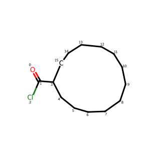 O=C(Cl)C1CCCCCCCCCCCC1